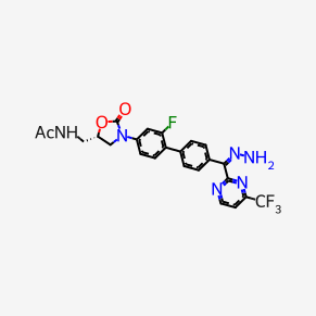 CC(=O)NC[C@H]1CN(c2ccc(-c3ccc(C(=NN)c4nccc(C(F)(F)F)n4)cc3)c(F)c2)C(=O)O1